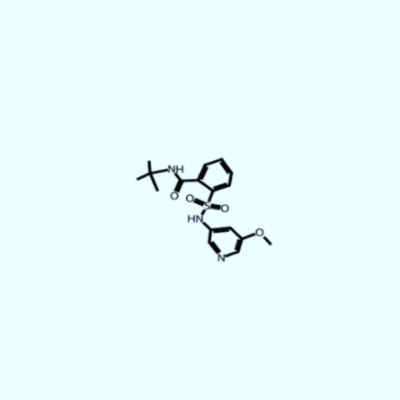 COc1cncc(NS(=O)(=O)c2ccccc2C(=O)NC(C)(C)C)c1